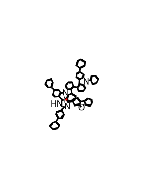 C1=CCCC(n2c3cc(-c4ccccc4)ccc3c3c(-c4cccc5c4c4ccccc4n5-c4cc(-c5ccccc5)ccc4C4=NC(c5ccc6c(c5)oc5ccccc56)=NC(c5ccc(-c6ccccc6)cc5)N4)cccc32)=C1